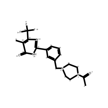 CC(=O)N1CCN(Cc2cccc(-c3nc(C(F)(F)F)c(C)c(=O)[nH]3)c2)CC1